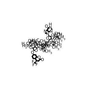 COP(=O)(OC[C@H]1OC(Oc2ccc3c(C(F)(F)F)cc(=O)oc3c2)C(O[Si](C)(C)C(C)(C)C)C1O[Si](C)(C)C(C)(C)C)OP(=O)(O)OCC1OC(n2cnc3c(=O)[nH]cnc32)C(O[Si](C)(C)C(C)(C)C)C1O[Si](C)(C)C(C)(C)C